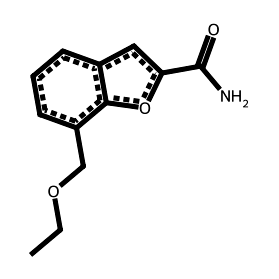 CCOCc1cccc2cc(C(N)=O)oc12